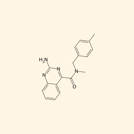 Cc1ccc(CN(C)C(=O)c2nc(N)nc3ccccc23)cc1